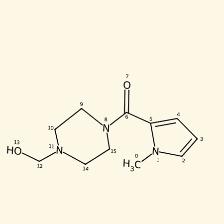 Cn1cccc1C(=O)N1CCN(CO)CC1